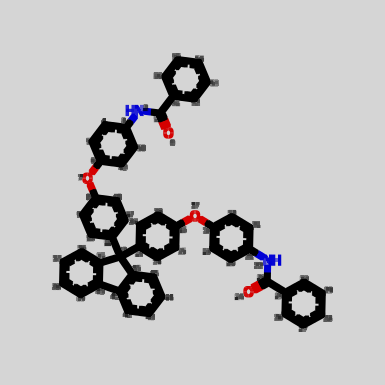 O=C(Nc1ccc(Oc2ccc(C3(c4ccc(Oc5ccc(NC(=O)c6ccccc6)cc5)cc4)c4ccccc4-c4ccccc43)cc2)cc1)c1ccccc1